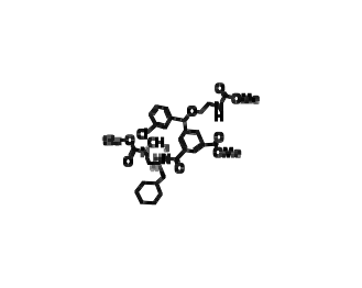 COC(=O)NCCOC(c1cccc(Cl)c1)c1cc(C(=O)N[C@@H](CC2CCCCC2)CN(C)C(=O)OC(C)(C)C)cc(C(=O)OC)c1